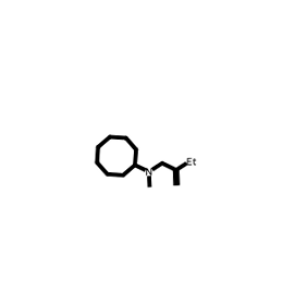 C=C(CC)CN(C)C1CCCCCCC1